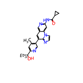 CC[C@H](O)c1cc(C)c(-c2cc3cnc(NC(=O)C4CC4)cc3n3ccnc23)cn1